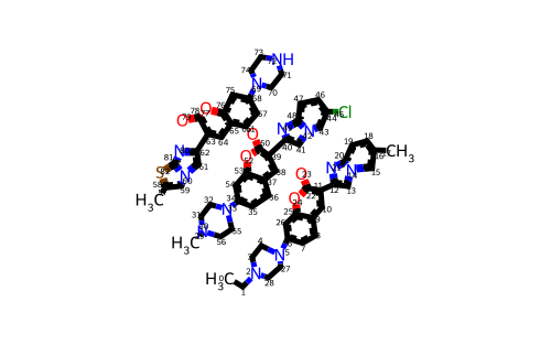 CCN1CCN(c2ccc3cc(-c4cn5cc(C)ccc5n4)c(=O)oc3c2)CC1.CN1CCN(c2ccc3cc(-c4cn5cc(Cl)ccc5n4)c(=O)oc3c2)CC1.Cc1cn2cc(-c3cc4ccc(N5CCNCC5)cc4oc3=O)nc2s1